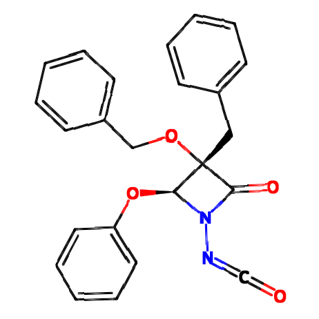 O=C=NN1C(=O)[C@@](Cc2ccccc2)(OCc2ccccc2)[C@@H]1Oc1ccccc1